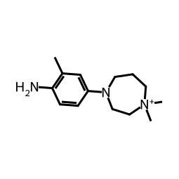 Cc1cc(N2CCC[N+](C)(C)CC2)ccc1N